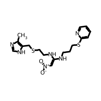 Cc1nc[nH]c1CSCCNC(=C[N+](=O)[O-])NCCCSc1ccccn1